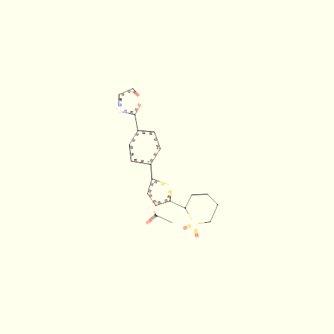 O=C(O)C[C@]1(c2ccc(-c3ccc(-c4ncco4)cc3)s2)CCCCS1(=O)=O